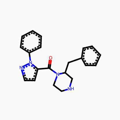 O=C(c1ccnn1-c1ccccc1)N1CCNCC1Cc1ccccc1